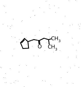 CC(C)CC(=O)CC1C=CCC1